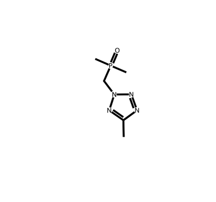 Cc1nnn(CP(C)(C)=O)n1